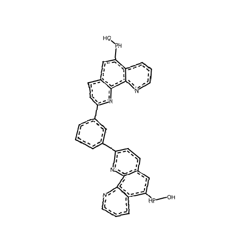 OPc1cc2ccc(-c3cccc(-c4ccc5cc(PO)c6cccnc6c5n4)c3)nc2c2ncccc12